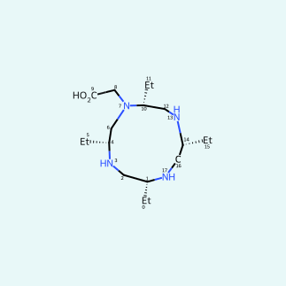 CC[C@@H]1CN[C@H](CC)CN(CC(=O)O)[C@H](CC)CN[C@H](CC)CN1